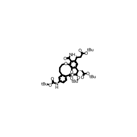 CC(C)(C)OC(=O)CCc1cc([C@H](CC(=O)OC(C)(C)C)C(=O)OC(C)(C)C)c2c(c1C(N)=O)OCCCc1cc(NC(=O)OC(C)(C)C)ccc1C(=O)O2